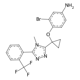 Cn1c(-c2ccccc2C(F)(F)F)nnc1C1(Oc2ccc(N)cc2Br)CC1